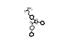 NC(=O)CCc1ccc(-c2oc(-c3ccccc3)nc2C(=O)N2CCN(c3ccccc3)CC2)cc1